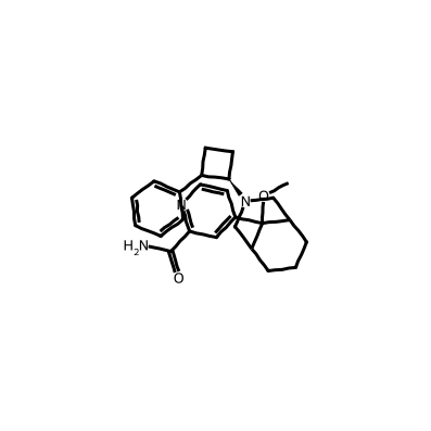 COC1(c2ccnc(C(N)=O)c2)C2CCCC1CN([C@@H]1CCC1c1ccccc1)C2